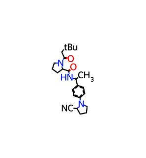 CC(NC(=O)C1CCCN1C(=O)CC(C)(C)C)c1ccc(N2CCCC2C#N)cc1